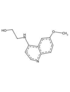 COc1ccc2nccc(NCCO)c2c1